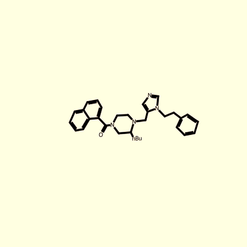 CCCCC1CN(C(=O)c2cccc3ccccc23)CCN1Cc1cncn1CCc1ccccc1